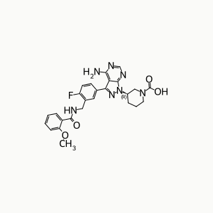 COc1ccccc1C(=O)NCc1cc(-c2nn([C@@H]3CCCN(C(=O)O)C3)c3ncnc(N)c23)ccc1F